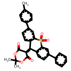 Cc1ccc(-c2ccc3c(c2)S(=O)(=O)c2cc(-c4ccccc4)ccc2C3=C2C(=O)OC(C)(C)OC2=O)cc1